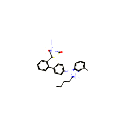 CCCCc1nc2c(C)cccc2n1-c1ccc(-c2ccccc2C2SC(=O)NC2=O)cc1